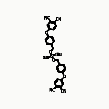 CC(C)(C)[Si](OCc1ccc(Oc2ccc(C#N)c(C#N)c2)cc1)(OCc1ccc(Oc2ccc(C#N)c(C#N)c2)cc1)C(C)(C)C